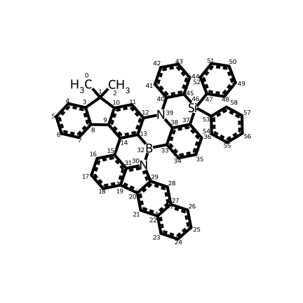 CC1(C)c2ccccc2-c2c1cc1c3c2-c2cccc4c5cc6ccccc6cc5n(c24)B3c2cccc3c2N1c1ccccc1[Si]3(c1ccccc1)c1ccccc1